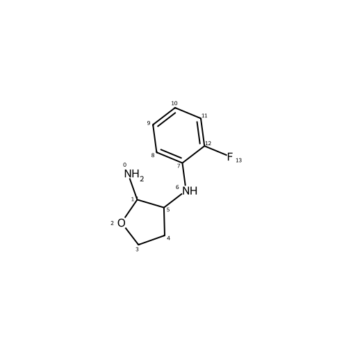 N[C]1OCCC1Nc1ccccc1F